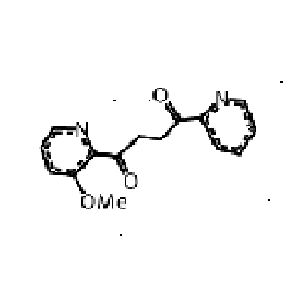 COc1cccnc1C(=O)CCC(=O)c1ccccn1